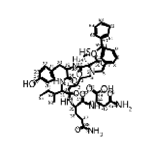 CCCCCN(Cc1ccccc1)[C@@](CS)(C(=O)NC(Cc1ccc(O)cc1)C(=O)NC(C(=O)NC(CCC(N)=O)C(=O)NC(CC(N)=O)C(=O)O)C(C)CC)C(=O)OCc1ccccc1